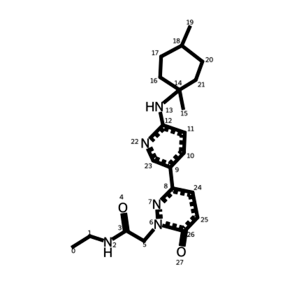 CCNC(=O)Cn1nc(-c2ccc(NC3(C)CCC(C)CC3)nc2)ccc1=O